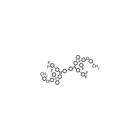 C=Cc1ccc(Oc2ccc(C3(c4ccc(F)cc4)c4ccccc4-c4ccc(N(c5ccc(-c6ccc(N(c7ccc(-c8ccc(F)c(F)c8)cc7)c7ccc8c(c7)C(c7ccc(F)cc7)(c7ccc(Oc9ccc(C=C)cc9)cc7)c7ccccc7-8)cc6)cc5)c5ccc(-c6ccc(F)c(F)c6)cc5)cc43)cc2)cc1